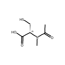 CC(=O)N(C)[C@@H](CS)C(=O)O